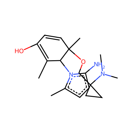 CC1=C(O)C=CC(C)(OCC2(N(C)C)CC2)C1n1c(C)ccc1N